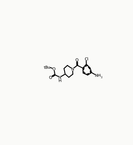 CC(C)(C)OC(=O)NC1CCN(C(=O)c2ccc(N)cc2Cl)CC1